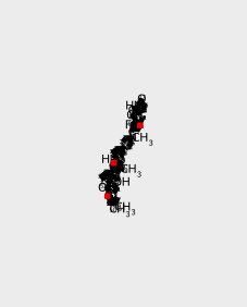 CN(Cc1ccc2c(c1F)C(=O)N(C1CCC(=O)NC1=O)C2)C1CCN(c2ccc(Nc3cc(-c4ccnc(N5CCn6c(cc7c6CC(C)(C)C7)C5=O)c4CO)cn(C)c3=O)nc2)CC1